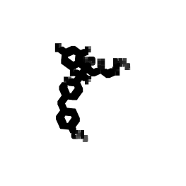 Cc1ccc(Cc2ccc(C(F)(F)C(O)(CN/C=N\N)c3ccc(F)cc3F)nc2)cc1